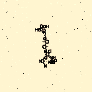 Cc1c(COc2cc(OCc3cncc(C#N)c3)c(CNC(C)(CO)C(=O)O)cc2Cl)cccc1-c1cccc(OCCCN2CCC(CO)(C(=O)O)CC2)c1C